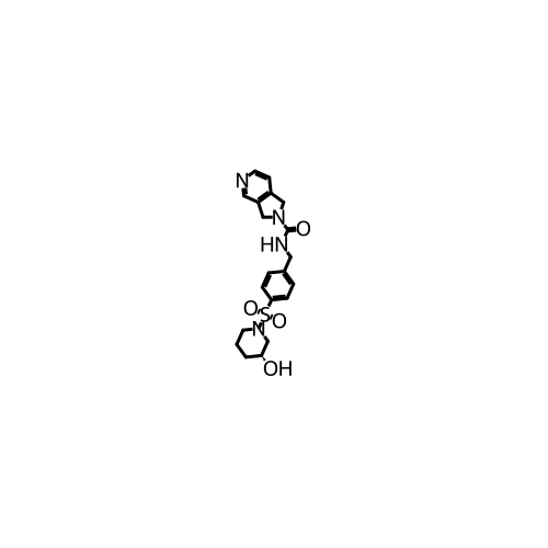 O=C(NCc1ccc(S(=O)(=O)N2CCC[C@@H](O)C2)cc1)N1Cc2ccncc2C1